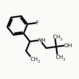 CCC(NCC(C)(C)O)c1ccccc1F